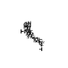 Fc1cc2[nH]c(OC3CO[C@@H]4CCO[C@H]34)nc2c(F)c1-c1ccc(-c2ccc(C3CNCCO3)cc2)cc1